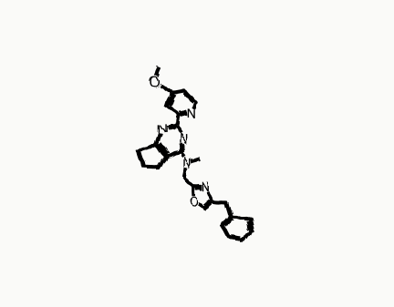 COc1ccnc(-c2nc3c(c(N(C)Cc4nc(Cc5ccccc5)co4)n2)CCC3)c1